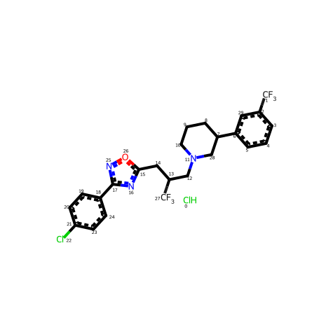 Cl.FC(F)(F)c1cccc(C2CCCN(CC(Cc3nc(-c4ccc(Cl)cc4)no3)C(F)(F)F)C2)c1